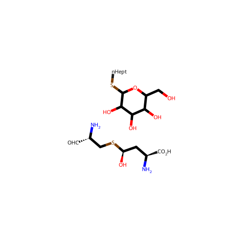 CCCCCCCSC1OC(CO)C(O)C(O)C1O.N[C@@H](C=O)CS[C@H](O)C[C@H](N)C(=O)O